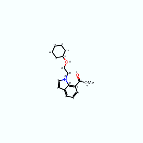 COC(=O)c1cccc2ccn(CCOC3CCCCC3)c12